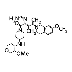 C=C(/C(C)=C(\N=C/N)C(=O)N1CCC(NC2CCOCC2OC)CC1)N1CCc2ccc(OC(F)(F)F)cc2C1